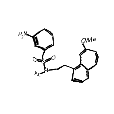 COc1ccc2cccc(CCN(C(C)=O)S(=O)(=O)c3cccc(N)c3)c2c1